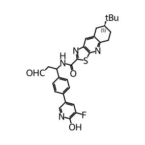 CC(C)(C)[C@H]1CCc2nc3sc(C(=O)NC(CC=O)c4ccc(-c5cnc(O)c(F)c5)cc4)nc3cc2C1